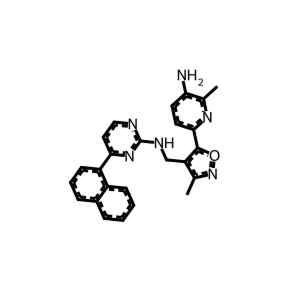 Cc1nc(-c2onc(C)c2CNc2nccc(-c3cccc4ccccc34)n2)ccc1N